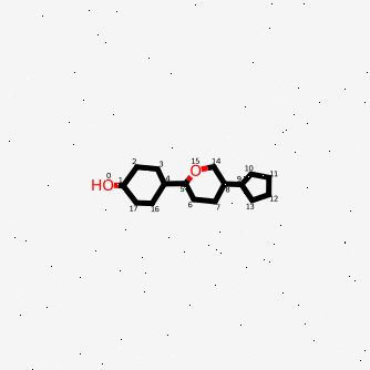 OC1CCC(C2CCC(C3CCCC3)CO2)CC1